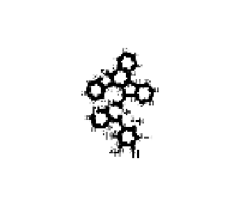 [2H]c1c([2H])c([2H])c(-c2nc(C3c4ccccc4-c4c3c3c5ccccc5sc3c3ccccc43)nc3ncccc23)c([2H])c1[2H]